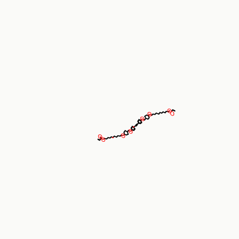 C=CC(=O)OCCCCCCCCCCCOC1CCC(COc2ccc(C#Cc3ccc(OCC4CCC(OCCCCCCCCCCCOC(=O)C=C)CC4)cc3)cc2)CC1